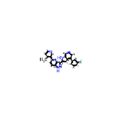 Cc1ccncc1-c1ccc2[nH]nc(-c3cc4c(-c5cccc(F)c5)cncc4[nH]3)c2n1